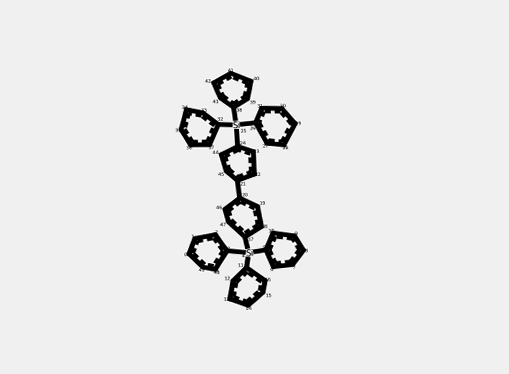 c1ccc([Si](c2ccccc2)(c2ccccc2)c2ccc(-c3ccc([Si](c4ccccc4)(c4ccccc4)c4ccccc4)cc3)cc2)cc1